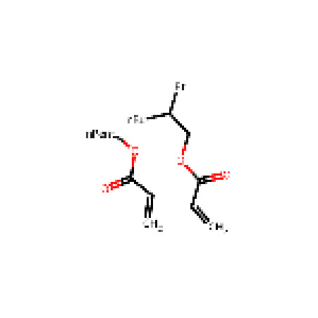 C=CC(=O)OCC(CC)CCCC.C=CC(=O)OCCCCC